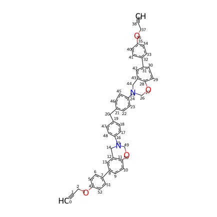 C#CCOc1ccc(-c2ccc3c(c2)CN(c2ccc(Cc4ccc(N5COc6ccc(-c7ccc(OCC#C)cc7)cc6C5)cc4)cc2)CO3)cc1